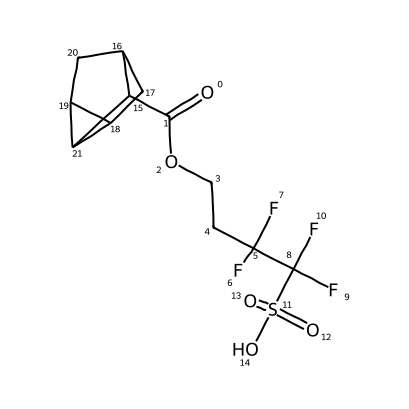 O=C(OCCC(F)(F)C(F)(F)S(=O)(=O)O)C1C2CC3C(C2)C31